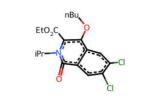 CCCCOc1c(C(=O)OCC)n(C(C)C)c(=O)c2cc(Cl)c(Cl)cc12